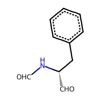 O=CN[C@@H](C=O)Cc1ccccc1